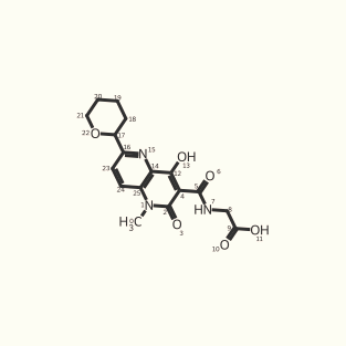 Cn1c(=O)c(C(=O)NCC(=O)O)c(O)c2nc(C3CCCCO3)ccc21